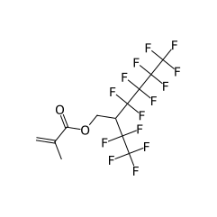 C=C(C)C(=O)OCC(C(F)(F)C(F)(F)F)C(F)(F)C(F)(F)C(F)(F)C(F)(F)F